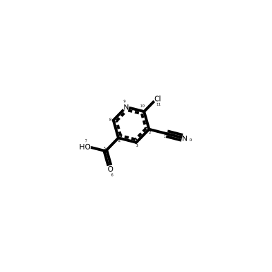 N#Cc1cc(C(=O)O)cnc1Cl